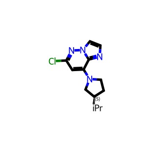 CC(C)[C@@H]1CCN(c2cc(Cl)nn3ccnc23)C1